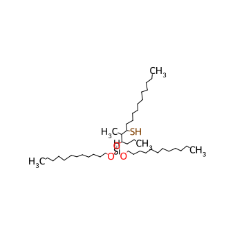 CCCCCCCCCCCCO[SiH](OCCCCCCCCCCCC)OC(CCC)C(C)C(S)CCCCCCCCCCC